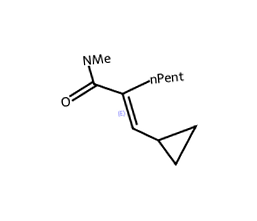 CCCCC/C(=C\C1CC1)C(=O)NC